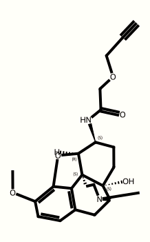 C#CCOCC(=O)N[C@H]1CC[C@@]2(O)C3Cc4ccc(OC)c5c4[C@@]2(CCN3C)[C@H]1O5